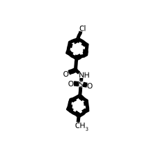 Cc1ccc(S(=O)(=O)NC(=O)c2ccc(Cl)cc2)cc1